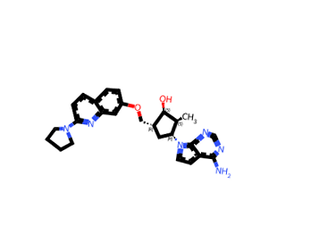 C[C@@H]1[C@H](O)[C@@H](COc2ccc3ccc(N4CCCC4)nc3c2)C[C@H]1n1ccc2c(N)ncnc21